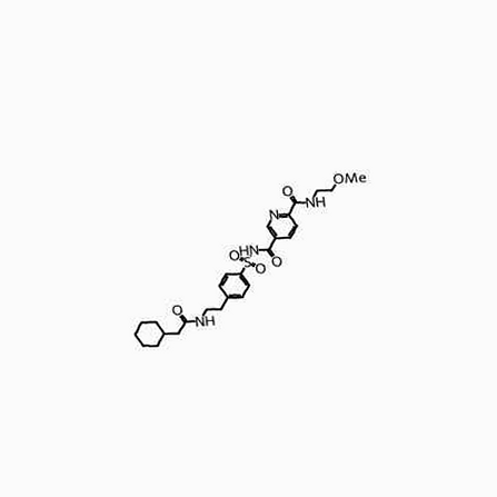 COCCNC(=O)c1ccc(C(=O)NS(=O)(=O)c2ccc(CCNC(=O)CC3CCCCC3)cc2)cn1